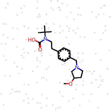 COC1CCN(Cc2ccc(CCN(C(=O)O)C(C)(C)C)cc2)C1